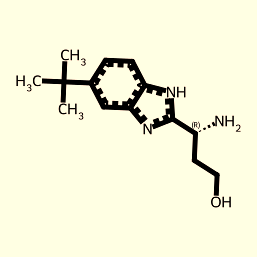 CC(C)(C)c1ccc2[nH]c([C@H](N)CCO)nc2c1